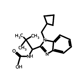 CC(C)(C)C(NC(=O)O)c1nc2ccccc2n1CC1CCC1